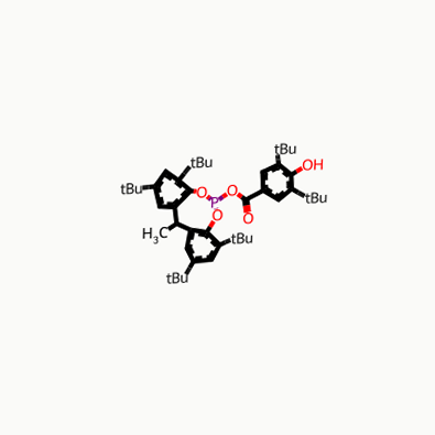 CC1c2cc(C(C)(C)C)cc(C(C)(C)C)c2OP(OC(=O)c2cc(C(C)(C)C)c(O)c(C(C)(C)C)c2)Oc2c1cc(C(C)(C)C)cc2C(C)(C)C